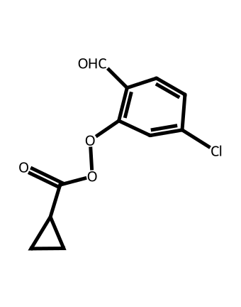 O=Cc1ccc(Cl)cc1OOC(=O)C1CC1